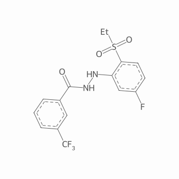 CCS(=O)(=O)c1ccc(F)cc1NNC(=O)c1cccc(C(F)(F)F)c1